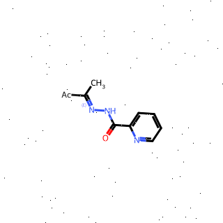 CC(=O)/C(C)=N/NC(=O)c1ccccn1